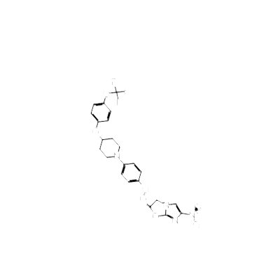 C[C@]1(OOc2ccc(N3CCC(Oc4ccc(OC(F)(F)F)cc4)CC3)cc2)Cn2cc([N+](=O)[O-])nc2O1